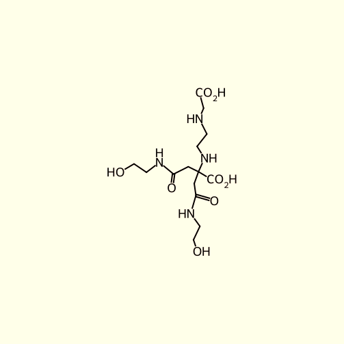 O=C(O)CNCCNC(CC(=O)NCCO)(CC(=O)NCCO)C(=O)O